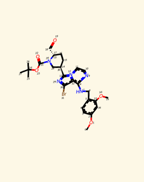 COc1ccc(CNc2nccn3c([C@@H]4CC[C@@H](C=O)N(C(=O)OC(C)(C)C)C4)nc(Br)c23)c(OC)c1